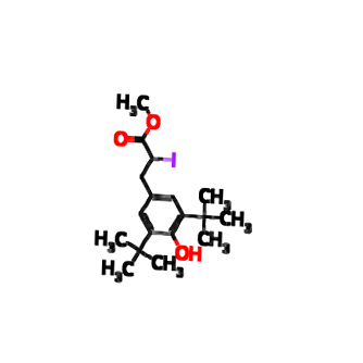 COC(=O)C(I)Cc1cc(C(C)(C)C)c(O)c(C(C)(C)C)c1